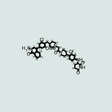 COc1cc(-c2cn(C)c(=O)c3ccccc23)cc(Cl)c1CC1CCN(CC(=O)N2CCC(c3ccc(NC4CCC(=O)NC4=O)cc3C(F)(F)F)CC2)CC1